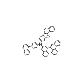 c1ccc2c(-c3ccc(N(c4cc(-c5cc6ccccc6c6ccccc56)c5ccccc5c4)c4ccc5c(c4)oc4c6ccccc6ccc54)cc3)cccc2c1